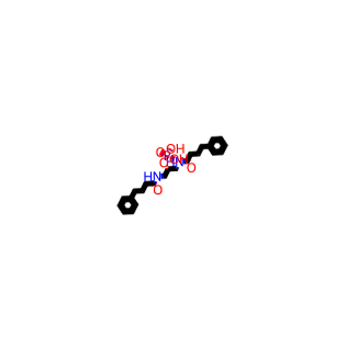 O=C(CCCc1ccccc1)NCC(CNC(=O)CCCc1ccccc1)OP(=O)(O)O